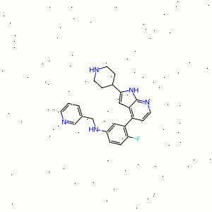 Fc1ccc(NCc2cccnc2)cc1-c1ccnc2[nH]c(C3CCNCC3)cc12